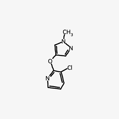 Cn1cc(Oc2ncccc2Cl)cn1